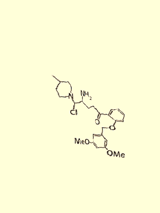 COc1cc(COc2ccccc2C(=O)CCC(N)C(Cl)N2CCC(C)CC2)cc(OC)c1